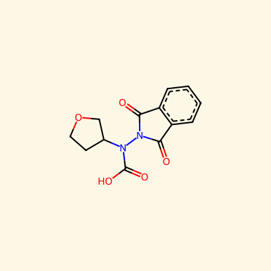 O=C1c2ccccc2C(=O)N1N(C(=O)O)C1CCOC1